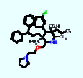 CC1NC(COCCN2CCCC2)C(CCC(c2ccccc2)c2ccccc2)(C(=O)O)C(c2cccc(Cl)c2)C1(CCC#N)C(=O)O